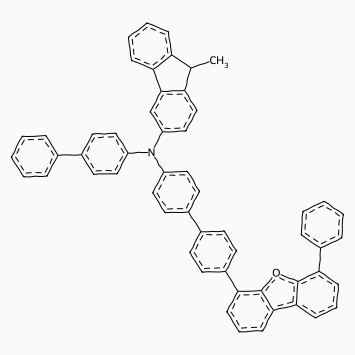 CC1c2ccccc2-c2cc(N(c3ccc(-c4ccccc4)cc3)c3ccc(-c4ccc(-c5cccc6c5oc5c(-c7ccccc7)cccc56)cc4)cc3)ccc21